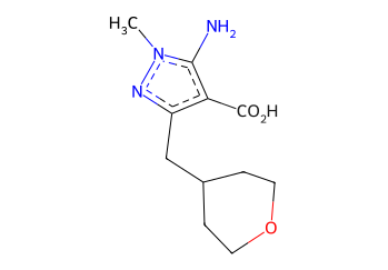 Cn1nc(CC2CCOCC2)c(C(=O)O)c1N